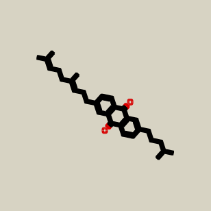 CC(C)=CCC/C(C)=C/CCc1ccc2c(c1)C(=O)c1ccc(CCCC(C)C)cc1C2=O